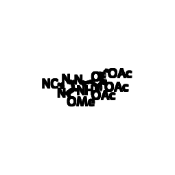 COc1nc(C#N)nc2nc(C3O[C@H](COC(C)=O)[C@@H](OC(C)=O)[C@H]3OC(C)=O)[nH]c12